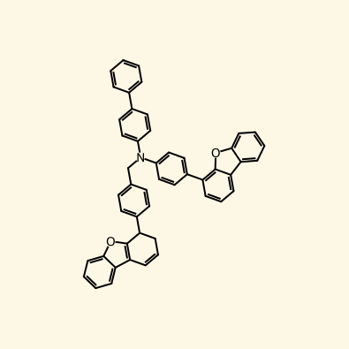 C1=Cc2c(oc3ccccc23)C(c2ccc(CN(c3ccc(-c4ccccc4)cc3)c3ccc(-c4cccc5c4oc4ccccc45)cc3)cc2)C1